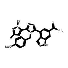 CCn1nc(C)cc1-c1nnc(-c2cc(C(N)=O)cc3[nH]ncc23)n1Cc1ccc(OC)cc1